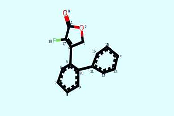 O=C1OCC(c2ccccc2-c2ccccc2)=C1F